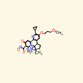 COCCCOc1cc2c(nc1C1CC1)-c1cc(=O)c(C(=O)N=O)cn1C1(N)C2CCC1(C)C